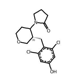 O=C1CCCN1C1CCOC[C@H]1Cc1c(Cl)cc(O)cc1Cl